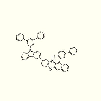 c1ccc(-c2cccc(-c3c4c(cc5ccccc35)Sc3ccc(-c5ccc6c(c5)c5ccccc5n6-c5cc(-c6ccccc6)cc(-c6ccccc6)c5)cc3N4)c2)cc1